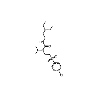 CCN(CC)CCNC(=O)N(CCS(=O)(=O)c1ccc(Cl)cc1)C(C)C